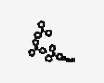 [Cl][RuH].c1ccc(P(c2ccccc2)c2ccccc2)cc1.c1ccc(P(c2ccccc2)c2ccccc2)cc1.c1ccc(P(c2ccccc2)c2ccccc2)cc1